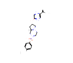 C=C(C)c1cnc(O[C@H]2C[C@H]3CN(S(=O)(=O)c4ccc(C(F)(F)F)cc4)CCN3C2)cn1